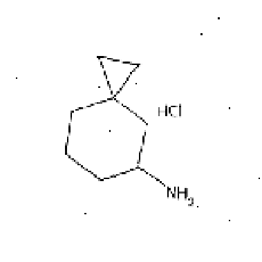 Cl.NC1CCCC2(CC2)C1